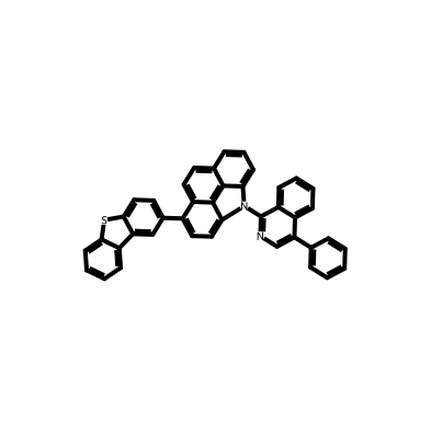 c1ccc(-c2cnc(-n3c4cccc5ccc6c(-c7ccc8sc9ccccc9c8c7)ccc3c6c54)c3ccccc23)cc1